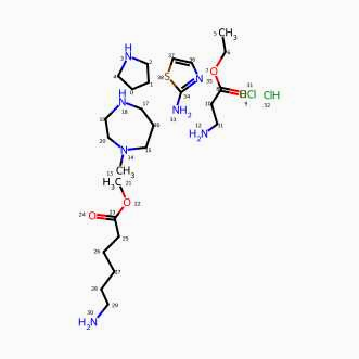 C1CCNC1.CCOC(=O)CCN.CN1CCCNCC1.COC(=O)CCCCCN.Cl.Cl.Nc1nccs1